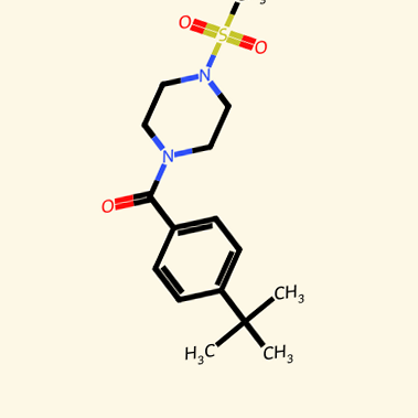 CC(C)(C)c1ccc(C(=O)N2CCN(S(C)(=O)=O)CC2)cc1